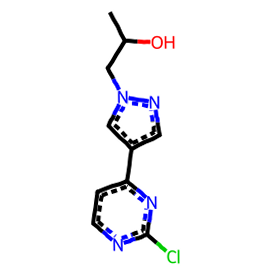 CC(O)Cn1cc(-c2ccnc(Cl)n2)cn1